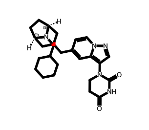 O=C1CCN(c2cnn3ccc(CC4C[C@H]5CC[C@@H](C4)N5CC4CCCCC4)cc23)C(=O)N1